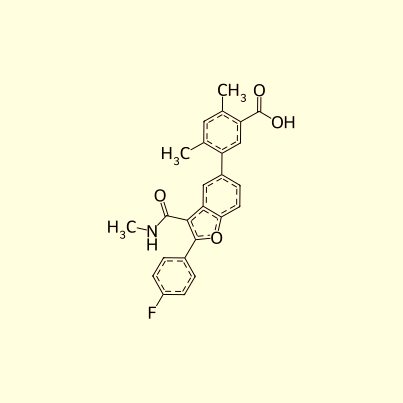 CNC(=O)c1c(-c2ccc(F)cc2)oc2ccc(-c3cc(C(=O)O)c(C)cc3C)cc12